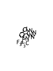 Fc1cccc(Cl)c1-c1c(Cl)nc2ncnn2c1N(CC(F)(F)F)CC(F)(F)F